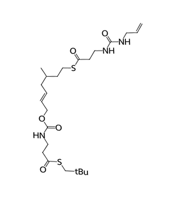 C=CCNC(=O)NCCC(=O)SCCC(C)C/C=C/COC(=O)NCCC(=O)SCC(C)(C)C